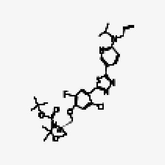 C=CCN(c1ccc(-c2nnc(-c3cc(F)c(OC[C@@H]4COC(C)(C)N4C(=O)OC(C)(C)C)cc3Cl)s2)cn1)C(C)C